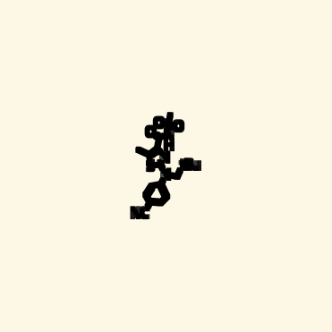 Cc1sc(N(CC(C)(C)C)c2ccc(C#N)cc2)nc1C(=O)NS(C)(=O)=O